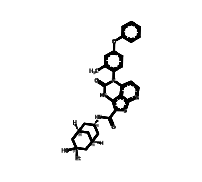 CC[C@@]1(O)C[C@@H]2C[C@@H](C[C@@H](NC(=O)c3sc4nccc5c4c3NC(=O)N5c3ccc(Oc4ccccc4)cc3C)C2)C1